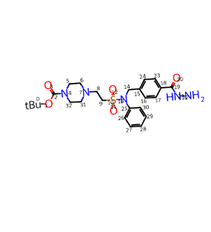 CC(C)(C)OC(=O)N1CCN(CCS(=O)(=O)N(Cc2ccc(C(=O)NN)cc2)c2ccccc2)CC1